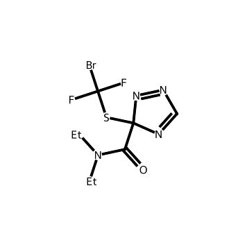 CCN(CC)C(=O)C1(SC(F)(F)Br)N=CN=N1